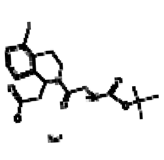 CC(C)(C)OC(=O)NCC(=O)N1CCc2c(I)cccc2C1CC(=O)[O-].[Na+]